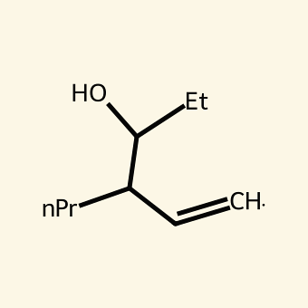 [CH]=CC(CCC)C(O)CC